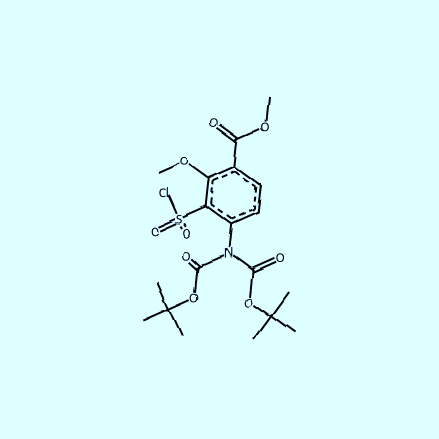 COC(=O)c1ccc(N(C(=O)OC(C)(C)C)C(=O)OC(C)(C)C)c(S(=O)(=O)Cl)c1OC